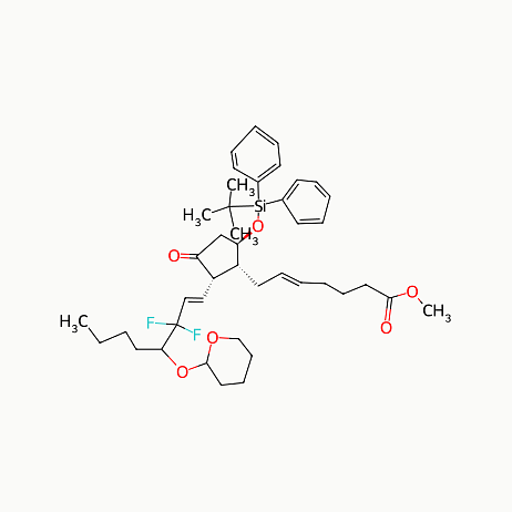 CCCCC(OC1CCCCO1)C(F)(F)C=C[C@@H]1C(=O)C[C@@H](O[Si](c2ccccc2)(c2ccccc2)C(C)(C)C)[C@@H]1CC=CCCCC(=O)OC